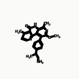 COc1nc(C)c2[nH]c(=O)c3c(C)ccnc3c2c1-c1ccc(C(C)CN)cc1